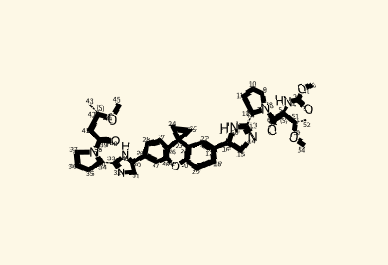 COC(=O)N[C@H](C(=O)N1CCC[C@H]1C1=NCC(c2ccc3c(c2)C2(CC2)c2ccc(C4CN=C([C@@H]5CCCN5C(=O)C[C@H](C)OC)N4)cc2O3)N1)[C@H](C)OC